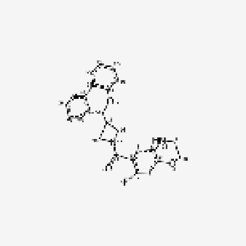 O=C(c1cc2c(cc1F)OCCN2)N1CC(COc2ccccc2-c2ccccc2)C1